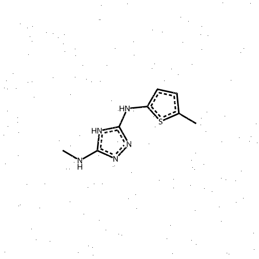 CNc1nnc(Nc2ccc(C)s2)[nH]1